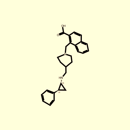 O=C(O)c1ccc2ccccc2c1CN1CCC(CN[C@@H]2C[C@H]2c2ccccc2)CC1